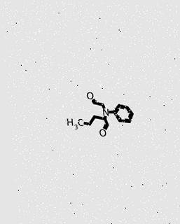 CCCC(C=O)N(CC=O)c1ccccc1